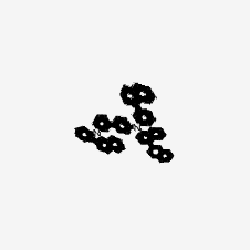 C1=C(c2ccc(N(c3ccc(-c4cccc(-n5c6ccccc6c6ccc7ccccc7c65)c4)cc3)c3cccc(-c4cccc5ccccc45)c3)c3ccccc23)CCc2ccccc21